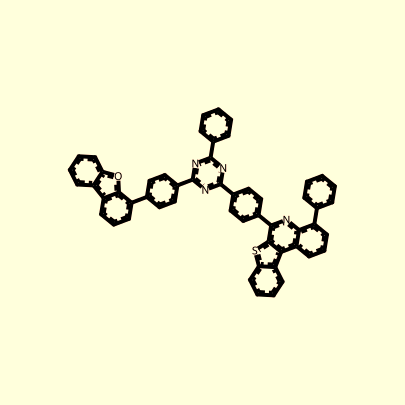 c1ccc(-c2nc(-c3ccc(-c4cccc5c4oc4ccccc45)cc3)nc(-c3ccc(-c4nc5c(-c6ccccc6)cccc5c5c4sc4ccccc45)cc3)n2)cc1